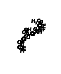 COc1ccc(CC(=O)Nc2ccc(C(=O)N(CC(=O)O)Cc3ccc(OC(=O)c4cccc(C(F)(F)F)n4)cc3)cc2)c(C(F)(F)F)c1